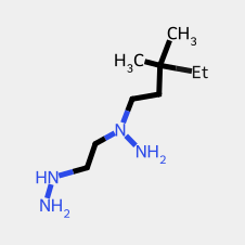 CCC(C)(C)CCN(N)CCNN